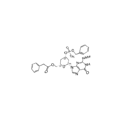 CNc1nc2c(ncn2[C@H]2C[C@@H](OP(=O)(O)OCc3ccccc3)C[C@@H](COC(=O)Cc3ccccc3)O2)c(=O)[nH]1